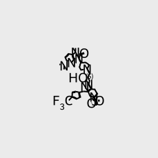 CN(C)c1ccc2c(n1)n(C1CCN(C[C@H](O)Cn3nc(-c4ccc(C(F)(F)F)cc4)c4c3CCN(S(C)(=O)=O)C4)CC1)c(=O)n2C